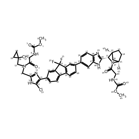 COC(=O)NCC(=O)N(Cc1nc(-c2ccc3c(c2)C(F)(F)c2cc(-c4ccc5nc([C@@H]6[C@H]7CC[C@H](C7)N6C(=O)CNC(=O)OC)[nH]c5c4)ccc2-3)c(Cl)[nH]1)CC1(C)CC1